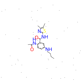 CCCCNc1ccc(NC(C)=O)c(C(=O)Nc2nc(C)c(C)s2)c1